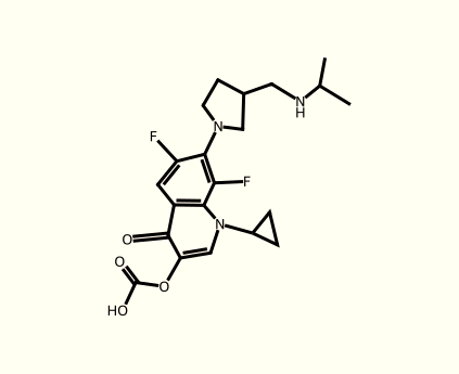 CC(C)NCC1CCN(c2c(F)cc3c(=O)c(OC(=O)O)cn(C4CC4)c3c2F)C1